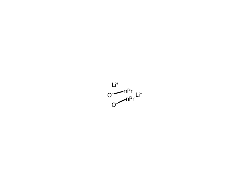 CCC[O-].CCC[O-].[Li+].[Li+]